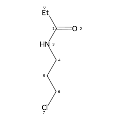 CCC(=O)NCCCCl